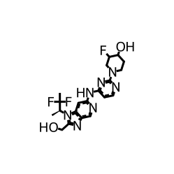 C[C@H](n1c(CO)nc2cnc(Nc3ccnc(N4CCC(O)C(F)C4)n3)cc21)C(C)(F)F